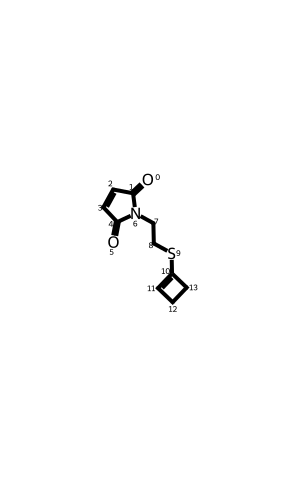 O=C1C=CC(=O)N1CCSC1=CCC1